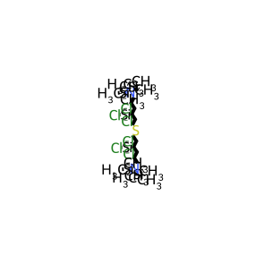 C[Si](C)(C)N(CCCC(CCSCCC(CCCN([Si](C)(C)C)[Si](C)(C)C)[Si](Cl)(Cl)Cl)[Si](Cl)(Cl)Cl)[Si](C)(C)C